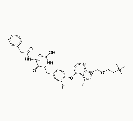 Cc1cn(COCC[Si](C)(C)C)c2nccc(Oc3ccc(CC(NC(=O)O)C(=O)NNC(=O)Cc4ccccc4)cc3F)c12